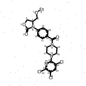 CCOCC1COC(=O)N1c1ccc(C(=O)N2CCN(c3nc(Cl)c(Cl)cc3Cl)CC2)cc1